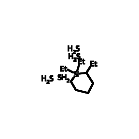 CCC1CCCC[Si]1(CC)CC.S.S.S.S